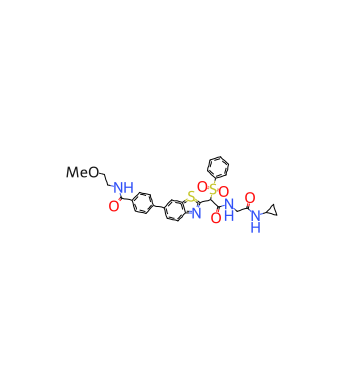 COCCNC(=O)c1ccc(-c2ccc3nc(C(C(=O)NCC(=O)NC4CC4)S(=O)(=O)c4ccccc4)sc3c2)cc1